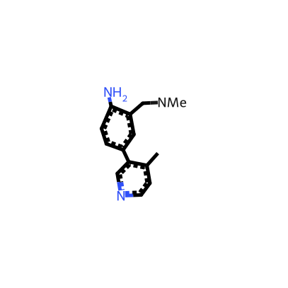 CNCc1cc(-c2cnccc2C)ccc1N